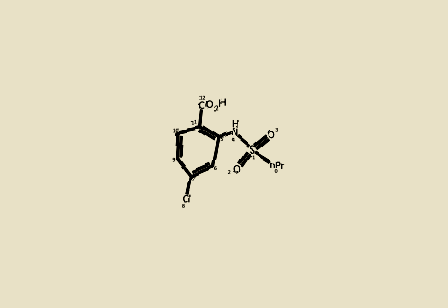 CCCS(=O)(=O)Nc1cc(Cl)ccc1C(=O)O